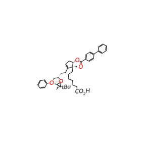 CC(C)(C)[Si](C)(C)O[C@@H](CCC1=CC[C@H](OC(=O)c2ccc(-c3ccccc3)cc2)[C@]1(C)CCCCCCC(=O)O)COc1ccccc1